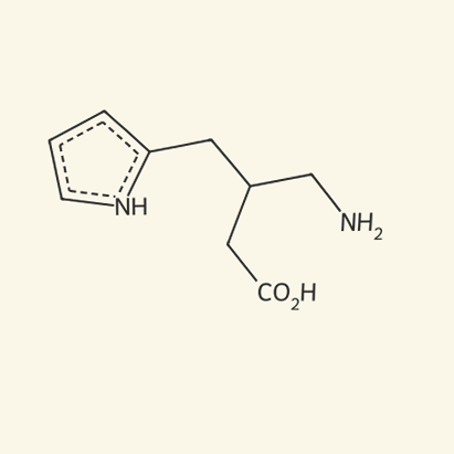 NCC(CC(=O)O)Cc1ccc[nH]1